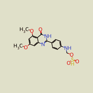 COc1cc(OC)c2c(=O)[nH]c(-c3ccc(NCO[SH](=O)=O)cc3)nc2c1